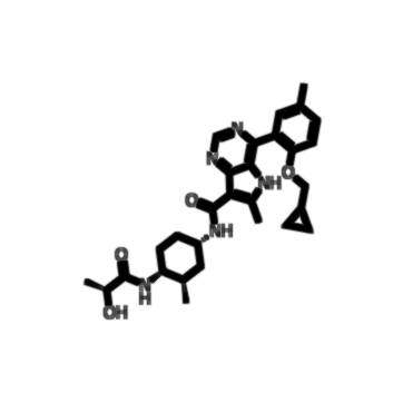 Cc1ccc(OCC2CC2)c(-c2ncnc3c(C(=O)N[C@H]4CC[C@H](NC(=O)[C@H](C)O)[C@H](C)C4)c(C)[nH]c23)c1